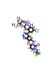 Cc1cc(Cl)cc(-c2ncnc3cc(Cn4c(=O)ccn(CC(F)(F)F)c4=O)sc23)c1CC1CNCC(C)(C)O1